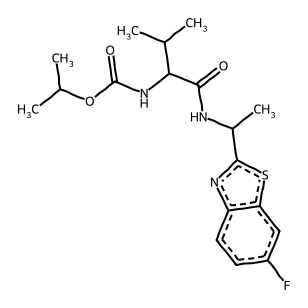 CC(C)OC(=O)NC(C(=O)NC(C)c1nc2ccc(F)cc2s1)C(C)C